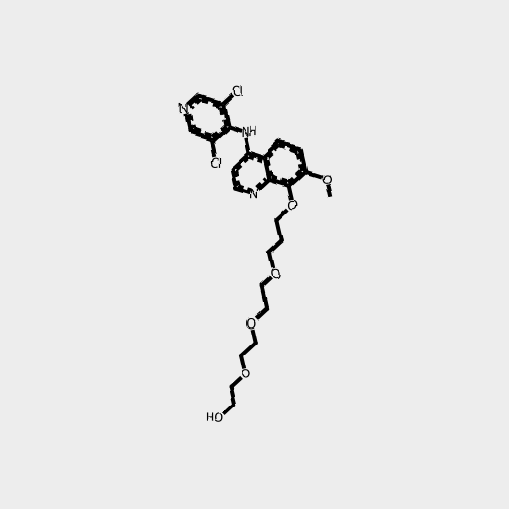 COc1ccc2c(Nc3c(Cl)cncc3Cl)ccnc2c1OCCCOCCOCCOCCO